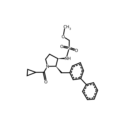 COCS(=O)(=O)N[C@@H]1CCN(C(=O)C2CC2)[C@@H]1Cc1cccc(-c2ccccc2)c1